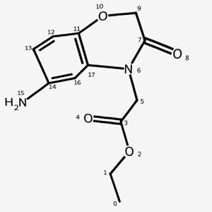 CCOC(=O)CN1C(=O)COc2ccc(N)cc21